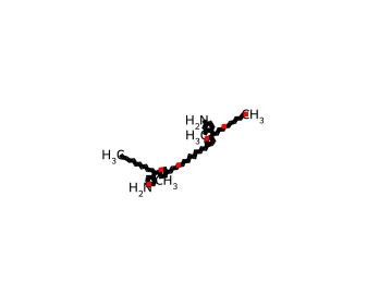 CCCCCCCCCCCC(c1ccc(CCCCCCCCCCCCCc2ccc(C(CCCCCCCCCCC)c3ccc(N)cc3C)cc2)cc1)c1ccc(N)cc1C